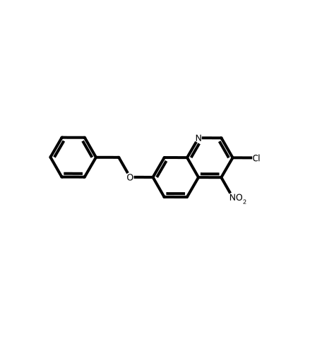 O=[N+]([O-])c1c(Cl)cnc2cc(OCc3ccccc3)ccc12